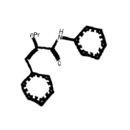 CCCC(=Cc1ccccc1)C(=O)Nc1ccccc1